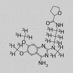 [2H]C([2H])([2H])Oc1cc2nc(N(C([2H])([2H])[2H])C([2H])([2H])C([2H])([2H])C([2H])([2H])NC(=O)C3CCCO3)nc(N)c2cc1OC([2H])([2H])[2H]